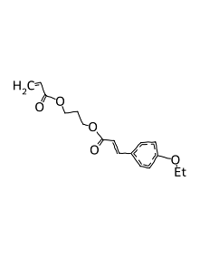 C=CC(=O)OCCCOC(=O)/C=C/c1ccc(OCC)cc1